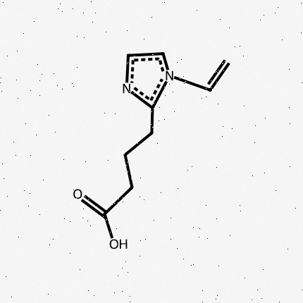 C=Cn1ccnc1CCCC(=O)O